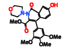 COC(=O)c1c(-c2cc(OC)c(OC)c(OC)c2)c2ccc(O)cc2c(=O)n1N1CCOCC1